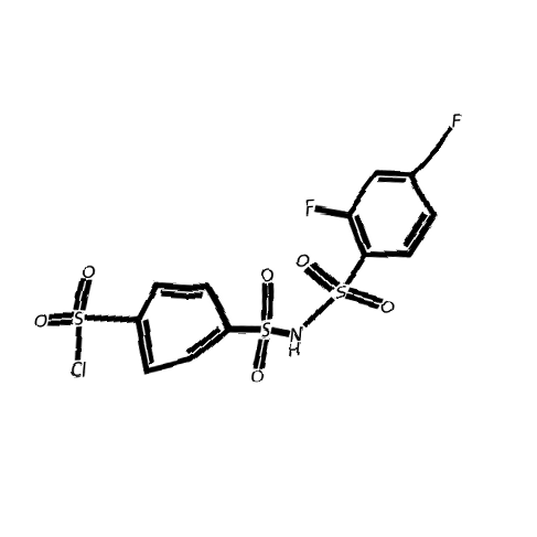 O=S(=O)(Cl)c1ccc(S(=O)(=O)NS(=O)(=O)c2ccc(F)cc2F)cc1